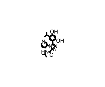 CC(C)NC(=O)c1nnc(-c2cc(C(C)C)c(O)cc2O)n1-c1cccnc1